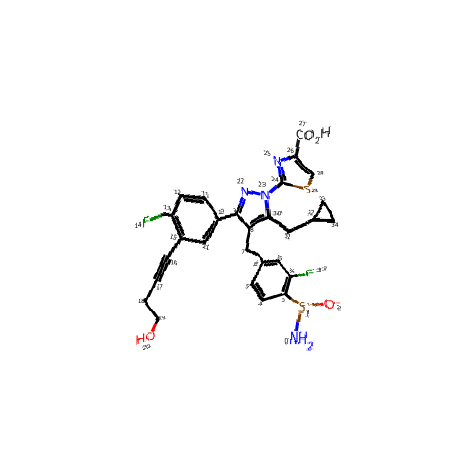 N[S+]([O-])c1ccc(Cc2c(-c3ccc(F)c(C#CCCO)c3)nn(-c3nc(C(=O)O)cs3)c2CC2CC2)cc1F